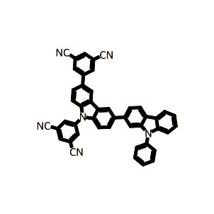 N#Cc1cc(C#N)cc(-c2ccc3c(c2)c2cc(-c4ccc5c6ccccc6n(-c6ccccc6)c5c4)ccc2n3-c2cc(C#N)cc(C#N)c2)c1